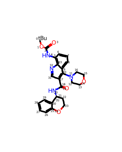 CC(C)(C)OC(=O)Nc1cccc2c(N3CCOCC3)c(C(=O)N[C@H]3CCOc4ccccc43)cnc12